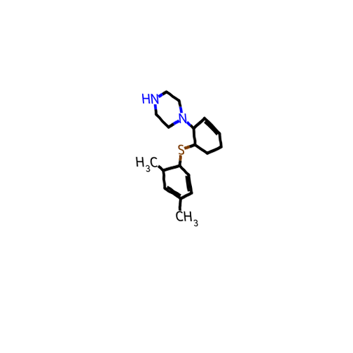 CC1=CC(C)C(SC2CCC=CC2N2CCNCC2)C=C1